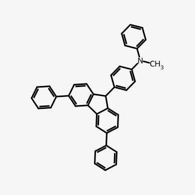 CN(c1ccccc1)c1ccc(C2c3ccc(-c4ccccc4)cc3-c3cc(-c4ccccc4)ccc32)cc1